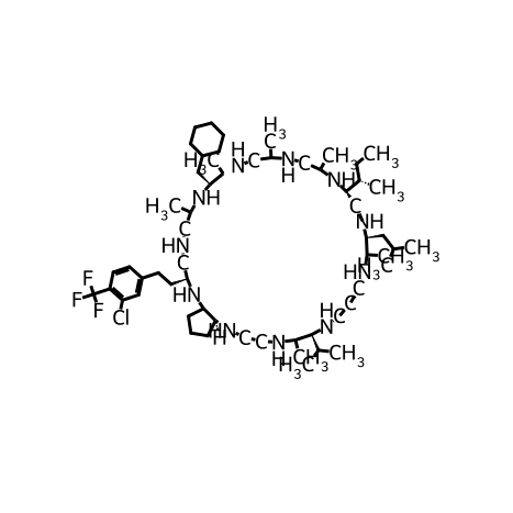 CC[C@H](C)[C@H]1CN[C@@H](CC(C)C)C(C)NCCCN[C@@H](C(C)C)C(C)NCCN[C@H]2CCCC2N[C@@H](CCc2ccc(C(F)(F)F)c(Cl)c2)CNCC(C)N[C@@H](CC2CCCCC2)C(C)NCC(C)NCC(C)N1